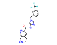 O=C(Nc1cn(Cc2cccc(C(F)(F)F)c2)cn1)c1cc2c(cn1)CNCC2